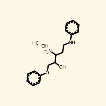 Cl.Cl.NC(CCNc1ccccc1)C(O)COc1ccccc1